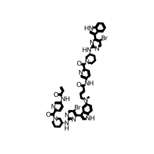 C=CC(=O)Nc1ccc(C(=O)N2CCC[C@@H](Nc3ncc(Br)c(-c4c[nH]c5ccc(N(C)C/C=C/C(=O)Nc6ccc(C(=O)N7CCC[C@@H](Nc8ncc(Br)c(-c9c[nH]c%10ccccc9%10)n8)C7)nc6)cc45)n3)C2)nc1